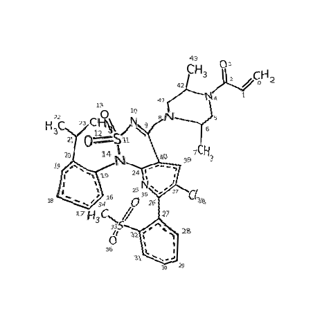 C=CC(=O)N1CC(C)N(C2=NS(=O)(=O)N(c3ccccc3C(C)C)c3nc(-c4ccccc4S(C)(=O)=O)c(Cl)cc32)CC1C